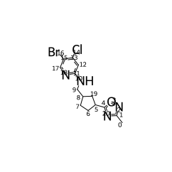 Cc1noc(C2CCC(CNc3cc(Cl)c(Br)cn3)C2)n1